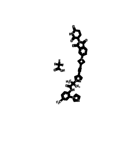 CC(C)(C(=O)Nc1ccc(C(F)(F)F)cc1-n1ccnc1)n1cc(C#CC2CN(c3ccc4c(c3)C(=O)N(C3CCC(=O)NC3=O)C4=O)C2)cn1.O=C(O)C(F)(F)F